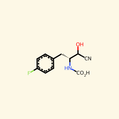 N#CC(O)[C@@H](Cc1ccc(F)cc1)NC(=O)O